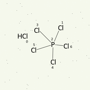 Cl.ClP(Cl)(Cl)(Cl)Cl